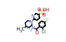 CC1CCN(c2ccc(S(=O)(=O)O)cn2)CC1.NC(=O)c1ccc(F)cc1Cl